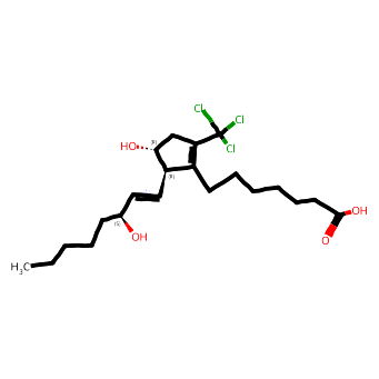 CCCCC[C@H](O)/C=C/[C@@H]1C(CCCCCCC(=O)O)=C(C(Cl)(Cl)Cl)C[C@H]1O